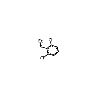 [CH2]CSc1c(Cl)cccc1Cl